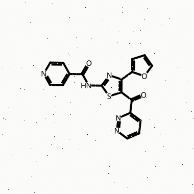 O=C(Nc1nc(-c2ccco2)c(C(=O)c2cccnn2)s1)c1ccncc1